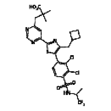 CC(NS(=O)(=O)c1ccc(-c2sc(-c3cc(CC(C)(C)C(=O)O)ncn3)nc2CC2CCC2)c(Cl)c1Cl)C(F)(F)F